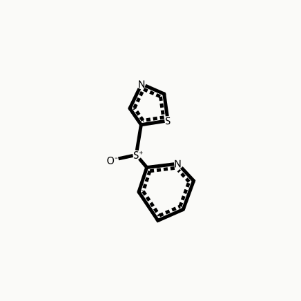 [O-][S+](c1ccccn1)c1cncs1